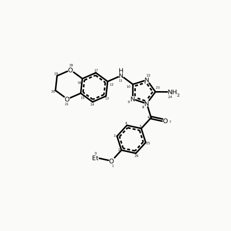 CCOc1ccc(C(=O)n2nc(Nc3ccc4c(c3)OCCO4)nc2N)cc1